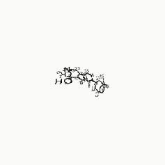 CCOC(O)c1cn2cc(C3CCOC(C)(C)C3)ccc2c1CC#N